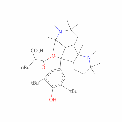 CCCCC(C(=O)O)C(=O)OC(c1cc(C(C)(C)C)c(O)c(C(C)(C)C)c1)(C1CCC(C)(C)N(C)C1(C)C)C1CCC(C)(C)N(C)C1(C)C